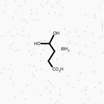 O=C(O)CCC(O)O.[BiH3]